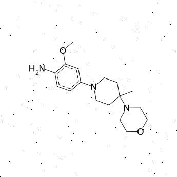 COc1cc(N2CCC(C)(N3CCOCC3)CC2)ccc1N